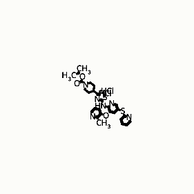 Cc1ncccc1Oc1cc(Sc2ccccn2)cnc1Nc1nc(C2CCN(C(=O)OC(C)C)CC2)ns1.Cl.Cl